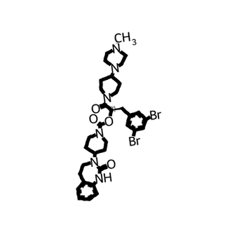 CN1CCN(C2CCN(C(=O)[C@@H](Cc3cc(Br)cc(Br)c3)OC(=O)N3CCC(N4CCc5ccccc5NC4=O)CC3)CC2)CC1